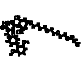 COc1cccc(OC)c1-c1ccc(C[C@H](NC(=O)c2c(Cl)cc(OCCCCOCCOCCON=[N+]=[N-])cc2Cl)C(=O)O)cc1